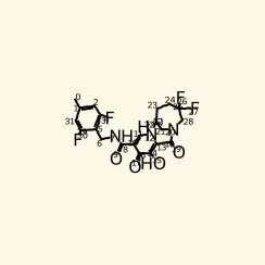 Cc1cc(F)c(CNC(=O)c2cn3c(c(O)c2=O)C(=O)N2C[C@@H]3CCC(F)(F)C2)c(F)c1